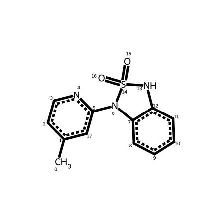 Cc1ccnc(N2c3ccccc3NS2(=O)=O)c1